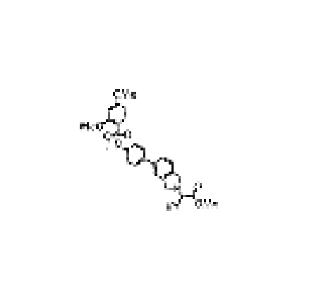 COC(=O)C(C(C)C)N1Cc2ccc(-c3ccc(NS(=O)(=O)c4ccc(OC)cc4OC)cc3)cc2C1